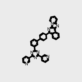 C1=CC(c2nc3c(nc4ccccn43)c3ccccc23)CC=C1c1cccc(-c2nc(-c3cccnc3)nc(-c3cccnc3)n2)c1